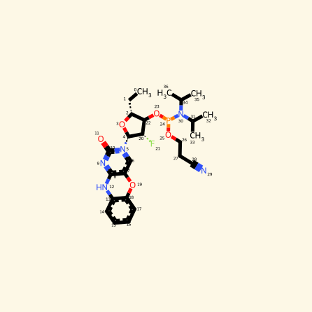 CC[C@H]1O[C@@H](n2cc3c(nc2=O)Nc2ccccc2O3)[C@@H](F)C1OP(OCCC#N)N(C(C)C)C(C)C